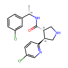 C[C@H](NC(=O)[C@@H]1CNC[C@H]1c1ccc(Cl)cn1)c1cccc(Cl)c1